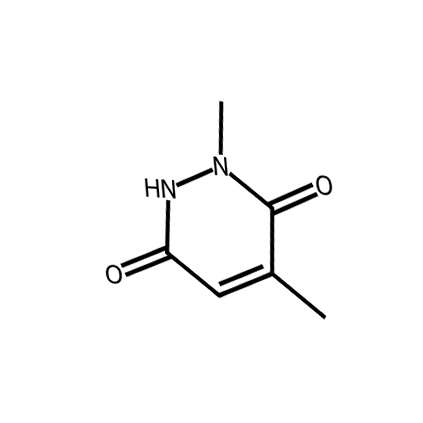 Cc1cc(=O)[nH]n(C)c1=O